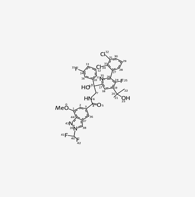 COc1cc(C(=O)NC[C@@](O)(c2cccc(F)c2)c2cc(C(C)(C)O)c(F)c(-c3cccc(Cl)c3Cl)n2)cc2cn(C(F)F)nc12